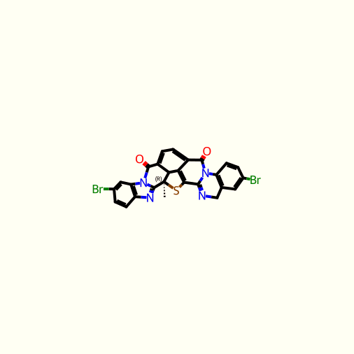 C[C@]12Sc3c4c(c(=O)n5c3=NCc3cc(Br)ccc3-5)=CC=C(C(=O)n3c1nc1ccc(Br)cc13)C42